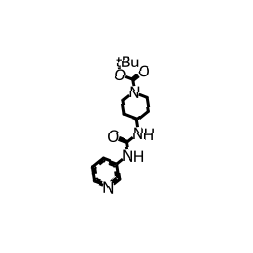 CC(C)(C)OC(=O)N1CCC(NC(=O)Nc2cccnc2)CC1